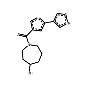 O=C(c1csc(-c2cn[nH]c2)c1)N1CCCC(O)CC1